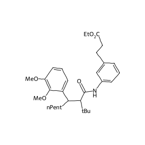 CCCCCC(c1cccc(OC)c1OC)C(C(=O)Nc1cccc(CCC(=O)OCC)c1)C(C)(C)C